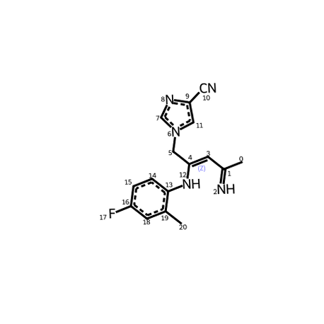 CC(=N)/C=C(/Cn1cnc(C#N)c1)Nc1ccc(F)cc1C